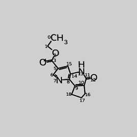 CCOC(=O)c1cnc2c3c(c(=O)[nH]c2c1)CCC3